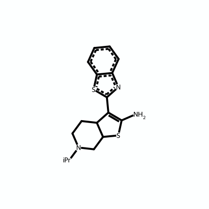 CC(C)N1CCC2C(c3nc4ccccc4s3)=C(N)SC2C1